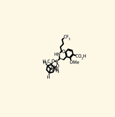 COc1c(C[C@H](NC(=O)CCCC(F)(F)F)B2O[C@@H]3C[C@@H]4C[C@@H](C4(C)C)[C@]3(C)O2)cccc1C(=O)O